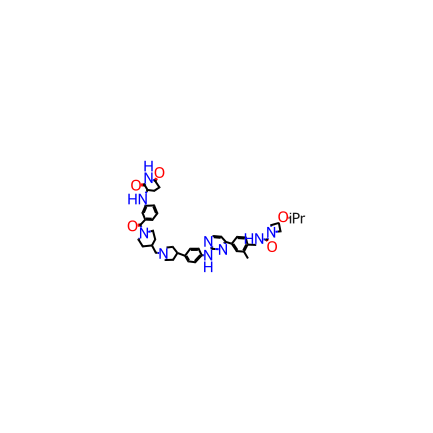 Cc1cc(-c2ccnc(Nc3ccc(C4CCN(CC5CCN(C(=O)c6cccc(NC7CCC(=O)NC7=O)c6)CC5)CC4)cc3)n2)ccc1CNC(=O)N1CC(OC(C)C)C1